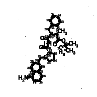 CN(C(=O)OC(C)(C)C)[C@H](Cc1ccccc1)C(=O)NC(=O)[C@@H]1CCCN1Cc1ccc2c(N)nccc2c1